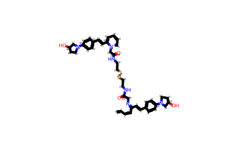 C=C\C=C/C(/C=C/c1ccc(N2CCC(O)C2)cc1)=N/CC(=O)NCCSSCCNC(=O)C[n+]1ccccc1/C=C/c1ccc(N2CCC(O)C2)cc1